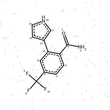 NC(=O)c1ccc(C(F)(F)F)cc1-c1cc[nH]c1